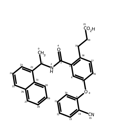 CC(NC(=O)c1cc(Oc2ccccc2C#N)ccc1CCC(=O)O)c1cccc2ccccc12